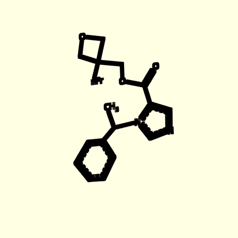 CCCC1(COC(=O)c2cncn2C(C)c2ccccc2)COC1